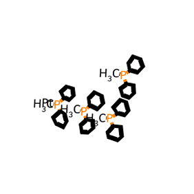 CP(c1ccccc1)c1ccccc1.CP(c1ccccc1)c1ccccc1.CP(c1ccccc1)c1ccccc1.CP(c1ccccc1)c1ccccc1.[Pt]